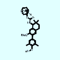 CCCOc1c(C)cc(-c2cc3c(cc2OC)C(NC(=O)O[C@H]2CN4CCC2CC4)C(C)(C)CC3)cc1C